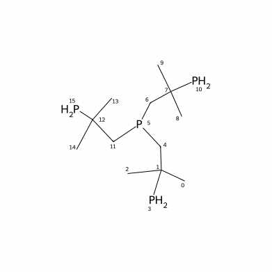 CC(C)(P)CP(CC(C)(C)P)CC(C)(C)P